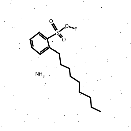 CCCCCCCCCc1ccccc1S(=O)(=O)OF.N